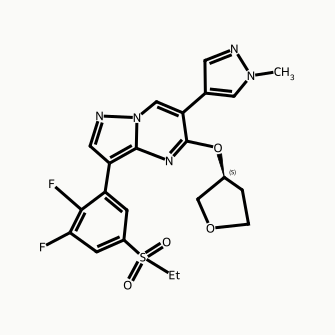 CCS(=O)(=O)c1cc(F)c(F)c(-c2cnn3cc(-c4cnn(C)c4)c(O[C@H]4CCOC4)nc23)c1